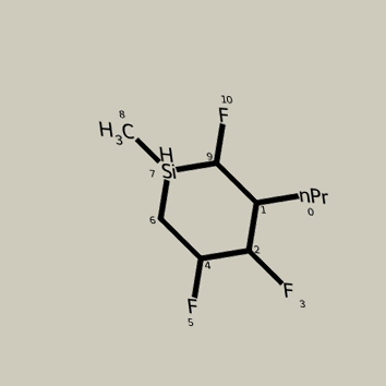 CCCC1C(F)C(F)C[SiH](C)C1F